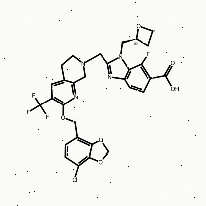 O=C(O)c1ccc2nc(CN3CCc4cc(C(F)(F)F)c(OCc5ccc(Cl)c6c5OCO6)nc4C3)n(C[C@@H]3CCO3)c2c1F